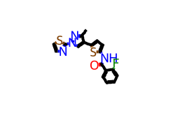 Cc1nn(-c2nccs2)cc1-c1ccc(NC(=O)c2ccccc2F)s1